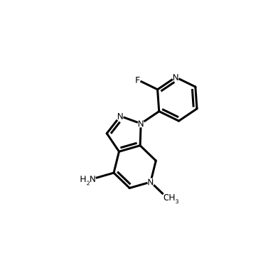 CN1C=C(N)c2cnn(-c3cccnc3F)c2C1